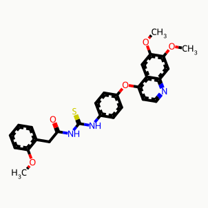 COc1ccccc1CC(=O)NC(=S)Nc1ccc(Oc2ccnc3cc(OC)c(OC)cc23)cc1